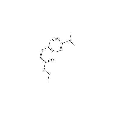 CCOC(=O)/C=C\c1ccc(N(C)C)cc1